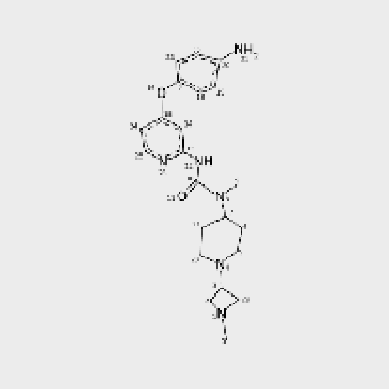 CN1CC(N2CCC(N(C)C(=O)Nc3cc(Oc4ccc(N)cc4)ccn3)CC2)C1